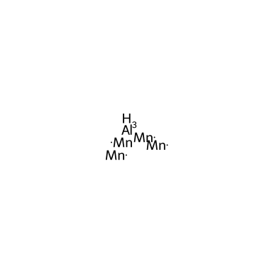 [AlH3].[Mn].[Mn].[Mn].[Mn]